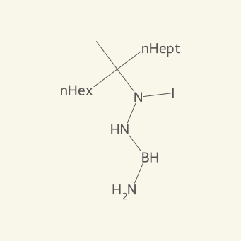 CCCCCCCC(C)(CCCCCC)N(I)NBN